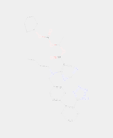 CCCCN(Cc1ccc(-c2ccccc2-c2nnn[nH]2)cc1)c1ncncc1C(=O)OC(C)OC(=O)OC1CCCCC1